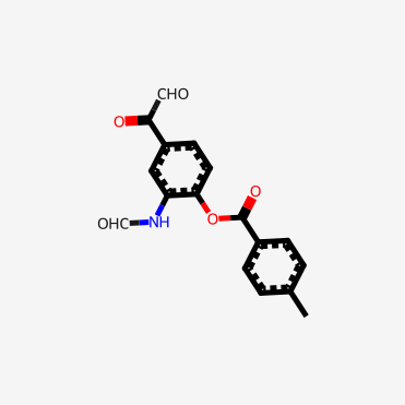 Cc1ccc(C(=O)Oc2ccc(C(=O)C=O)cc2NC=O)cc1